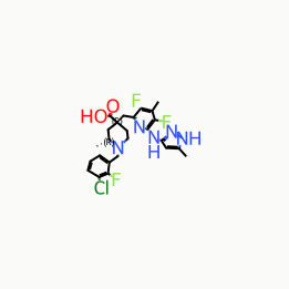 Cc1cc(Nc2nc(C[C@@]3(C(=O)O)CCN(Cc4cccc(Cl)c4F)[C@H](C)C3)c(F)c(C)c2F)n[nH]1